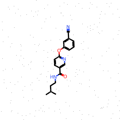 CC(C)CCNC(=O)c1ccc(Oc2cccc(C#N)c2)nc1